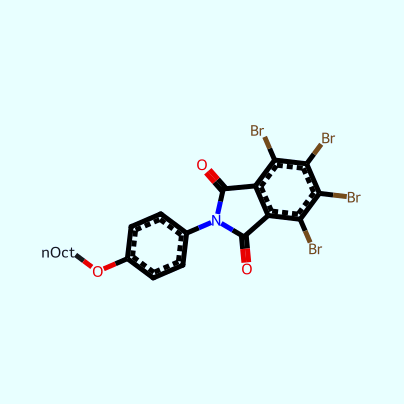 CCCCCCCCOc1ccc(N2C(=O)c3c(Br)c(Br)c(Br)c(Br)c3C2=O)cc1